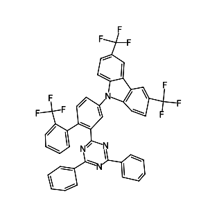 FC(F)(F)c1ccc2c(c1)c1cc(C(F)(F)F)ccc1n2-c1ccc(-c2ccccc2C(F)(F)F)c(-c2nc(-c3ccccc3)nc(-c3ccccc3)n2)c1